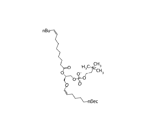 CCCC/C=C\CCCCCCCC(=O)O[C@H](CO/C=C\CCCCCCCCCCCCCC)COP(=O)([O-])OCC[N+](C)(C)C